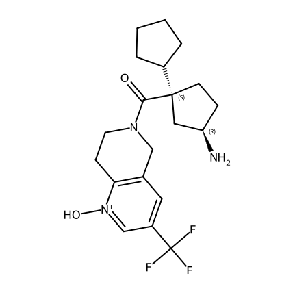 N[C@@H]1CC[C@@](C(=O)N2CCc3c(cc(C(F)(F)F)c[n+]3O)C2)(C2CCCC2)C1